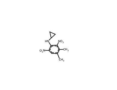 Cc1cc([N+](=O)[O-])c(NC2CC2)c([N+](=O)[O-])c1C